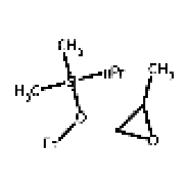 CC1CO1.CCC[Si](C)(C)OCC